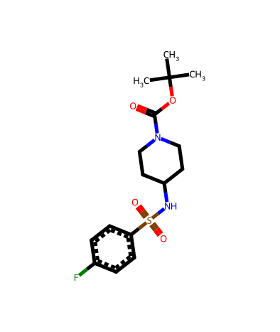 CC(C)(C)OC(=O)N1CCC(NS(=O)(=O)c2ccc(F)cc2)CC1